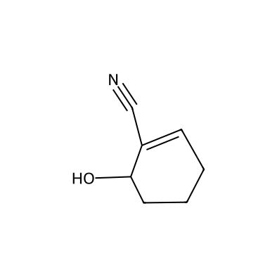 N#CC1=CCCCC1O